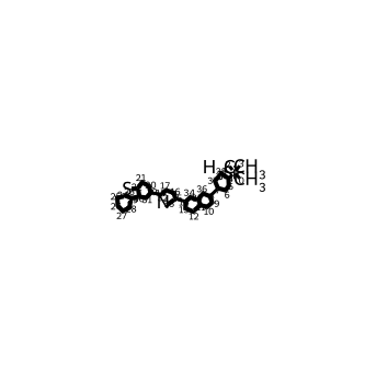 C[Si](C)(C)c1ccc(-c2ccc3ccc(-c4ccc(-c5ccc6sc7ccccc7c6c5)nc4)cc3c2)cc1